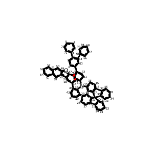 c1ccc(-c2ccc(-c3ccc(N(c4ccc5c(c4)C4(c6ccccc6-c6ccccc64)c4ccccc4-5)c4ccccc4-c4ccc5oc6cc7ccccc7cc6c5c4)cc3)cc2-c2ccccc2)cc1